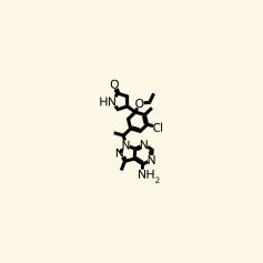 CCOC1(C2CNC(=O)C2)CC(C(C)n2nc(C)c3c(N)ncnc32)=CC(Cl)=C1C